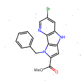 COC(=O)c1cc2[nH]c3cc(Br)cnc3c2n1Cc1ccccc1